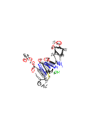 CCC(=O)OCOC(=O)C1=C(COC(C)=O)CS[C@@H]2[C@H](NC(=O)C(N)Cc3cccc4c3OCO4)C(=O)N12.Cl